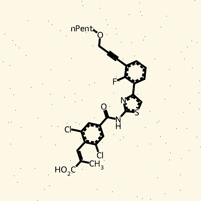 CCCCCOCC#Cc1cccc(-c2csc(NC(=O)c3cc(Cl)c(/C=C(\C)C(=O)O)c(Cl)c3)n2)c1F